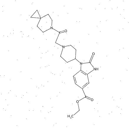 CCOC(=O)c1ccc2c(c1)[nH]c(=O)n2C1CCN(CC(=O)N2CCC3(CC2)CC3)CC1